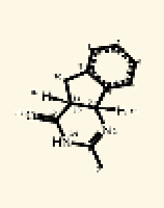 CC1=N[C@H]2c3ccccc3C[C@H]2C(=O)N1